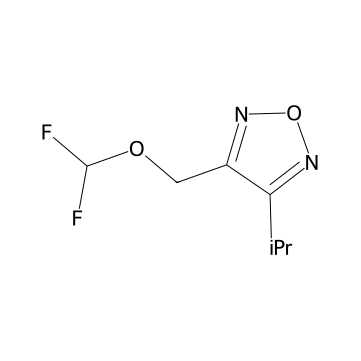 CC(C)c1nonc1COC(F)F